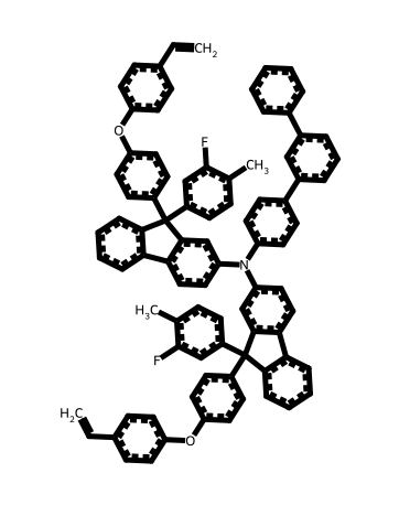 C=Cc1ccc(Oc2ccc(C3(c4ccc(C)c(F)c4)c4ccccc4-c4ccc(N(c5ccc(-c6cccc(-c7ccccc7)c6)cc5)c5ccc6c(c5)C(c5ccc(Oc7ccc(C=C)cc7)cc5)(c5ccc(C)c(F)c5)c5ccccc5-6)cc43)cc2)cc1